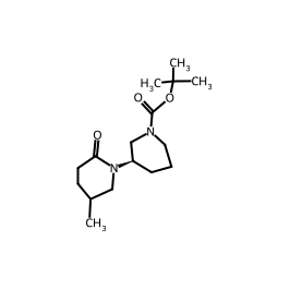 CC1CCC(=O)N([C@@H]2CCCN(C(=O)OC(C)(C)C)C2)C1